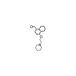 O=Cc1ccc(OCCN2CCCCC2)c2ccccc12